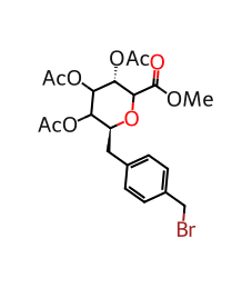 COC(=O)C1O[C@@H](Cc2ccc(CBr)cc2)C(OC(C)=O)C(OC(C)=O)[C@@H]1OC(C)=O